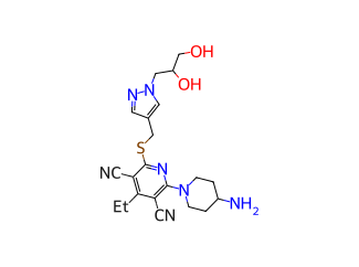 CCc1c(C#N)c(SCc2cnn(CC(O)CO)c2)nc(N2CCC(N)CC2)c1C#N